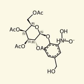 CC(=O)OC[C@H]1O[C@@H](Oc2ccc(CO)cc2[NH+]([O-])O)[C@H](OC(C)=O)[C@@H](OC(C)=O)[C@H]1OC(C)=O